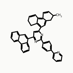 CC1C=Cc2c(cc(-c3cc(-c4cc5ccccc5c5ccccc45)nc(-c4ccc(-c5ccccn5)cc4)n3)c3c2C=CCC3)C1